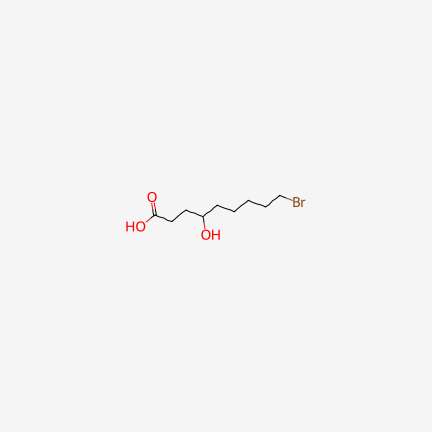 O=C(O)CCC(O)CCCCCBr